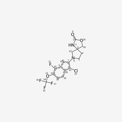 O=C1NC2(CCN(c3sc4c(F)c(OC(F)(F)F)ccc4c3Cl)C2)CO1